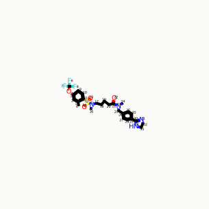 Cc1cc(OC(F)(F)F)ccc1S(=O)(=O)N(C)CCCCC(=O)N(C)Cc1ccc(C2=NCCN2)cc1